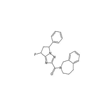 O=C(c1nc2n(n1)C(c1ccccc1)CC2F)N1CCCc2ccccc2C1